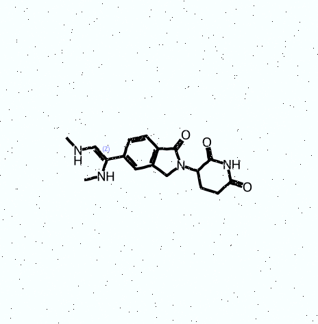 CN/C=C(\NC)c1ccc2c(c1)CN(C1CCC(=O)NC1=O)C2=O